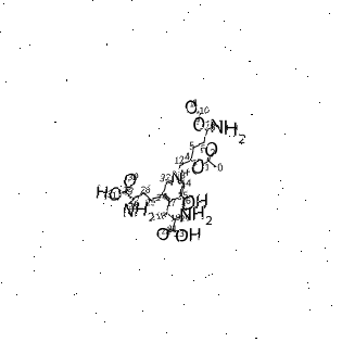 CC(=O)OC(CCC(N)OC=O)C[n+]1cc(O)c(CC(N)C(=O)O)c(CCC(N)C(=O)O)c1